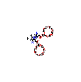 CC(C#N)(CCC(=O)OCC1COCCOCCOCCOCCOCCO1)N=NC(C)(C#N)CCC(=O)OCC1COCCOCCOCCOCCOCCO1